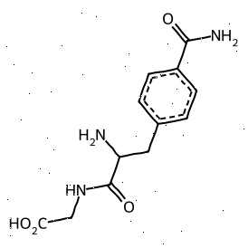 NC(=O)c1ccc(CC(N)C(=O)NCC(=O)O)cc1